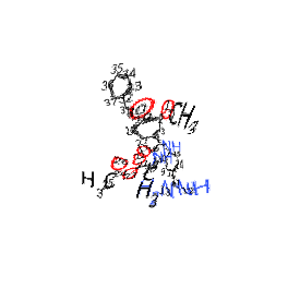 COc1cc([C@H](Nc2ccc(C(=N)N)cc2)C(=O)N[C@@H](C)C(=O)OC(C)=O)ccc1OCc1ccccc1